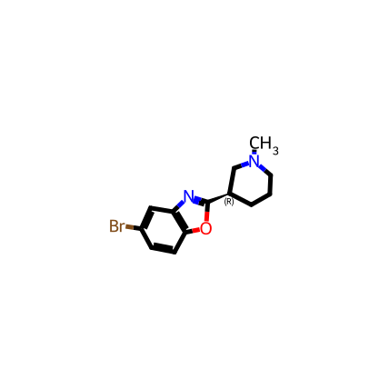 CN1CCC[C@@H](c2nc3cc(Br)ccc3o2)C1